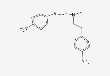 CN(CCSc1ccc(N)cc1)CCc1ccc(N)cc1